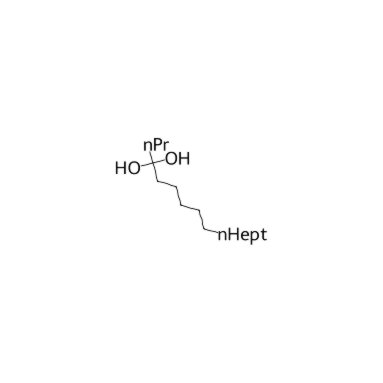 CCCCCCCCCCCCC(O)(O)CCC